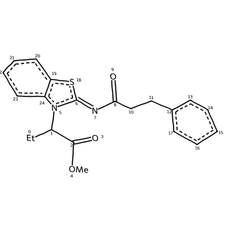 CCC(C(=O)OC)n1c(=NC(=O)CCc2ccccc2)sc2ccccc21